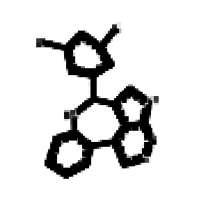 Clc1cc(Cl)cc(C2Nc3ccccc3-c3cnnc4[nH]cc2c34)c1